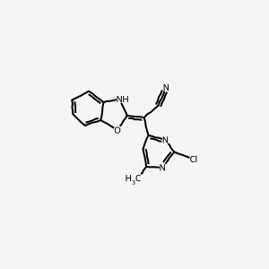 Cc1cc(C(C#N)=C2Nc3ccccc3O2)nc(Cl)n1